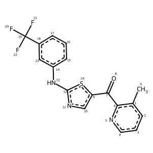 Cc1cccnc1C(=O)c1cnc(Nc2cccc(C(F)(F)F)c2)s1